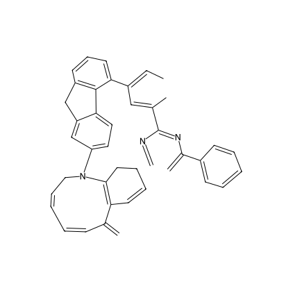 C=NC(=N\C(=C)c1ccccc1)/C(C)=C/C(=C\C)c1cccc2c1-c1ccc(N3C/C=C\C=C/C(=C)C4=C3CCC=C4)cc1C2